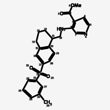 COC(=O)c1ccncc1NCC1CCCc2cc(S(=O)(=O)c3cccc(C)c3)ccc21